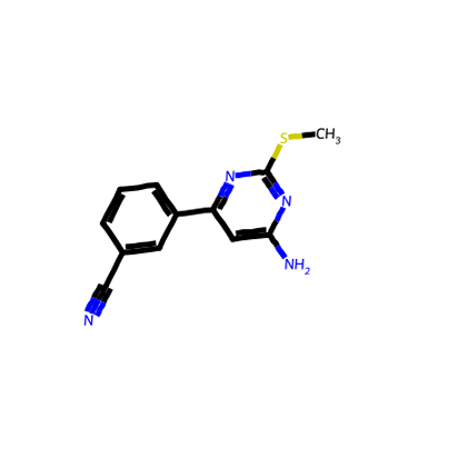 CSc1nc(N)cc(-c2cccc(C#N)c2)n1